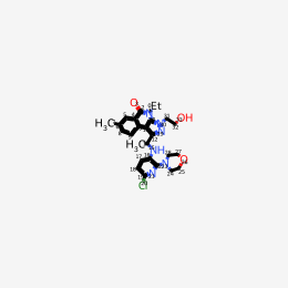 CCn1c(=O)c2cc(C)ccc2c2c(C(C)Nc3ccc(Cl)nc3N3CCOCC3)nn(CCO)c21